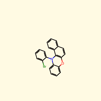 Brc1ccccc1N1c2ccccc2Oc2ccc3ccccc3c21